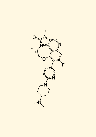 C[C@H]1COc2c(-c3ccc(N4CCC(N(C)C)CC4)nc3)c(F)cc3ncc4c(c23)n1c(=O)n4C